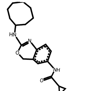 O=C(Nc1ccc2c(c1)COC(NC1CCCCCCC1)=N2)C1CC1